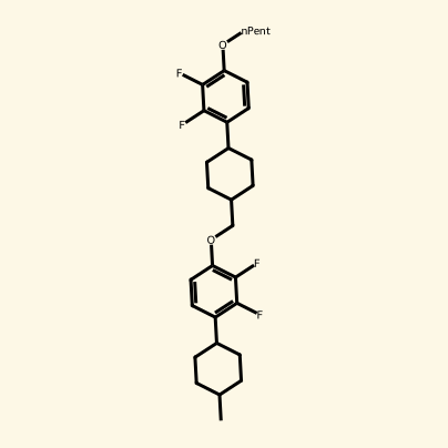 CCCCCOc1ccc(C2CCC(COc3ccc(C4CCC(C)CC4)c(F)c3F)CC2)c(F)c1F